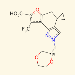 O=C(O)c1oc2c(c1C(F)(F)F)-c1nn(C[C@H]3COCCO3)cc1C1(CC1)C2